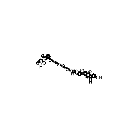 CCc1cc2c(cc1N1CCC(NC(=O)COCCOCCOCCOCCOCCSc3cccc4c3CN(C3CCC(=O)NC3=O)C4=O)CC1)C(C)(C)c1[nH]c3cc(C#N)ccc3c1C2=O